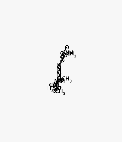 CNC(=O)C(CCC=O)Oc1ccc(OCCCN2CCN(C3CCN(c4ccc(Nc5ncc(Cl)c(Nc6ccccc6P(C)(C)=O)n5)c(OC)c4)CC3)CC2)cc1